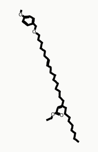 CCCCCCCCCC(=CC(=O)OCC)CCCCCCCCCC=CCCCCCCOCc1ccc(OC)cc1